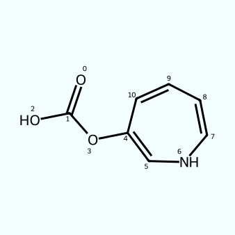 O=C(O)OC1=CNC=CC=C1